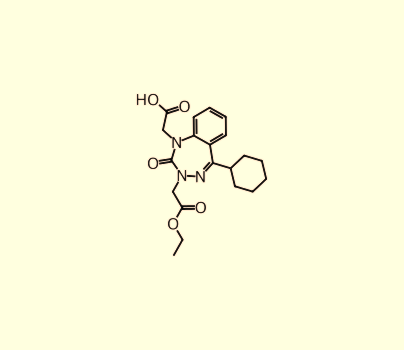 CCOC(=O)CN1N=C(C2CCCCC2)c2ccccc2N(CC(=O)O)C1=O